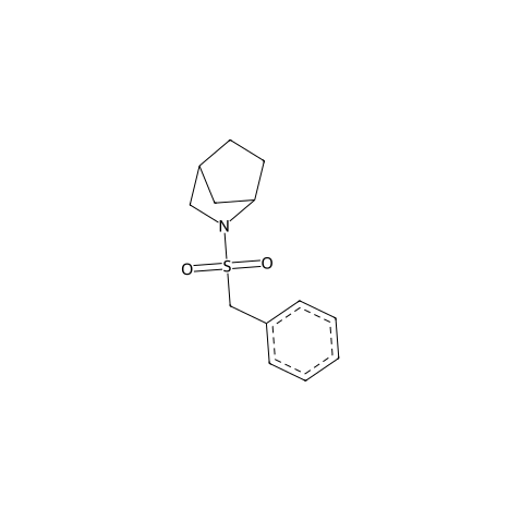 O=S(=O)(Cc1ccccc1)N1CC2CCC1C2